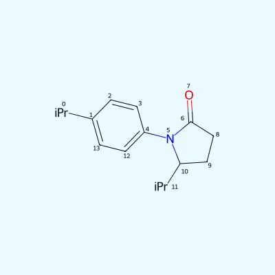 CC(C)c1ccc(N2C(=O)CCC2C(C)C)cc1